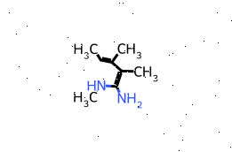 CC=C(C)/C(C)=C(/N)NC